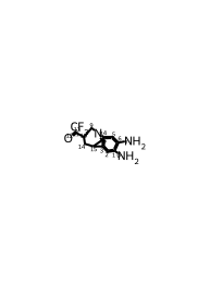 Nc1cc2c(cc1N)N1CC(C(=O)C(F)(F)F)CC2C1